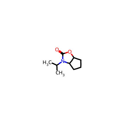 CC(C)N1C(=O)OC2CCCC21